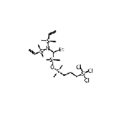 C=C[Si](C)(C)N(C(CC)[Si](C)(C)O[Si](C)(C)CCC[Si](Cl)(Cl)Cl)[Si](C)(C)C=C